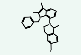 Cc1c(C)n(Cc2ccccc2)c2c(N3CCc4cc(F)ccc4C3C)ccnc12